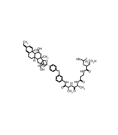 C/C=C1\C=C[C@@]2(C)C(=C1)CC[C@@H]1C2[C@@H](O)C[C@@]2(C)C1C[C@H]1O[C@@H](c3ccc(Sc4cccc(NC(=O)[C@H](C)NC(=O)[C@H](C)NC(=O)CCNC(=O)C(CC(=O)O)SC(C)CCCC)c4)cc3)O[C@]12C(=O)CO